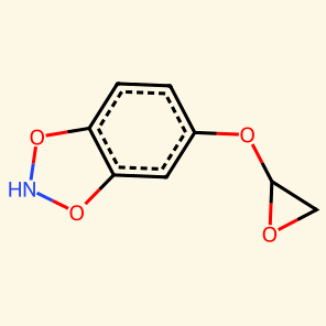 c1cc2c(cc1OC1CO1)ONO2